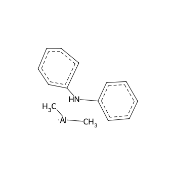 [CH3][Al][CH3].c1ccc(Nc2ccccc2)cc1